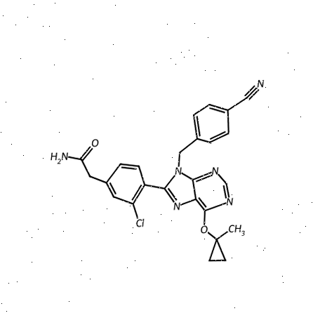 CC1(Oc2ncnc3c2nc(-c2ccc(CC(N)=O)cc2Cl)n3Cc2ccc(C#N)cc2)CC1